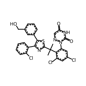 CC(C)(c1nc(-c2ccccc2Cl)c(-c2cccc(CO)c2)s1)c1c(Cl)cc(Cl)cc1-n1ncc(=O)[nH]c1=O